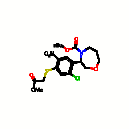 CCCCOC(=O)N1CCCOCC1c1cc([N+](=O)[O-])c(SCC(=O)OC)cc1Cl